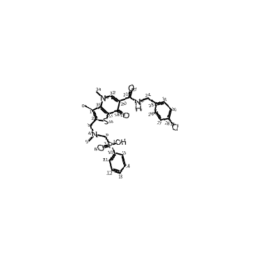 Cc1c(CN(C)CP(=O)(O)c2ccccc2)sc2c(=O)c(C(=O)NCc3ccc(Cl)cc3)cn(C)c12